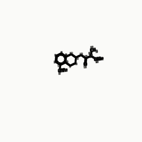 COc1cccc2c1CCC(CC(=O)N(C)OC)C2